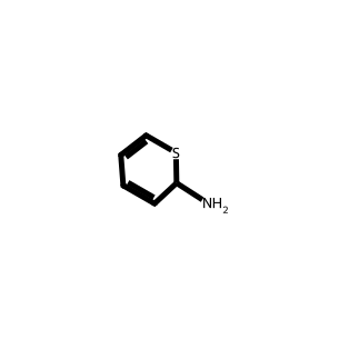 NC1C=CC=CS1